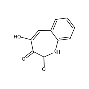 O=c1[nH]c2ccccc2cc(O)c1=O